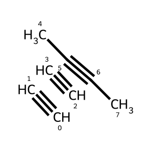 C#C.C#C.CC#CC